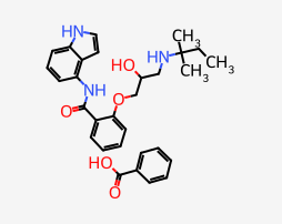 CCC(C)(C)NCC(O)COc1ccccc1C(=O)Nc1cccc2[nH]ccc12.O=C(O)c1ccccc1